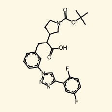 CC(C)(C)OC(=O)N1CC[C@H]([C@H](Cc2cccc(-n3cc(-c4cc(F)ccc4F)nn3)c2)C(=O)O)C1